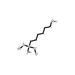 CCCCCCCCCCCCCCCC[Si](OCC)(OCC)C(C)(C)C